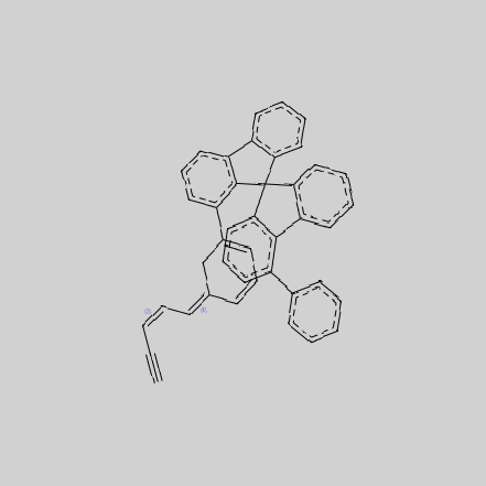 C#C/C=C\C=C1\C=CC=C(c2cccc3c2C2(c4ccccc4-3)c3ccccc3-c3c(-c4ccccc4)cccc32)C1